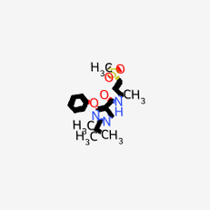 CC(C=CS(C)(=O)=O)NC(=O)c1cnc(C(C)(C)C)nc1Oc1ccccc1